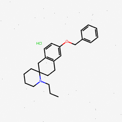 CCCN1CCCCC12CCc1cc(OCc3ccccc3)ccc1C2.Cl